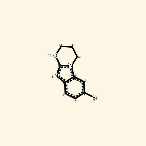 Brc1ccc2nc3n(c2c1)CCCO3